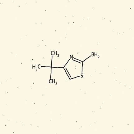 Bc1nc(C(C)(C)C)cs1